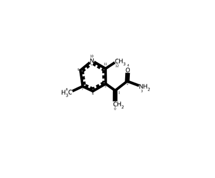 C=C(C(N)=O)c1cc(C)cnc1C